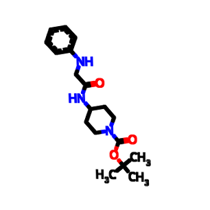 CC(C)(C)OC(=O)N1CCC(NC(=O)CNc2ccccc2)CC1